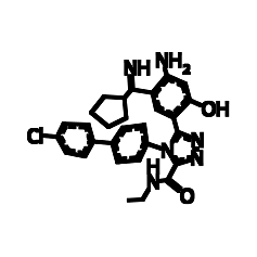 CCNC(=O)c1nnc(-c2cc(C(=N)C3CCCC3)c(N)cc2O)n1-c1ccc(-c2ccc(Cl)cc2)cc1